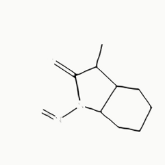 CC1C(=O)N(N=O)C2CCCCC12